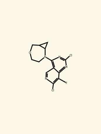 Fc1c(Cl)ncc2c(N3CCOCC4CC43)nc(Cl)nc12